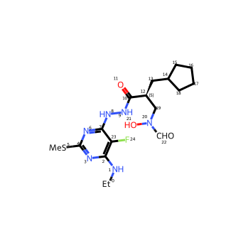 CCNc1nc(SC)nc(NNC(=O)[C@@H](CC2CCCC2)CN(O)C=O)c1F